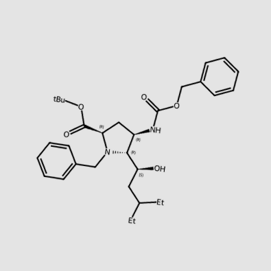 CCC(CC)C[C@H](O)[C@H]1[C@H](NC(=O)OCc2ccccc2)C[C@H](C(=O)OC(C)(C)C)N1Cc1ccccc1